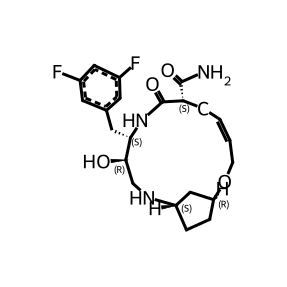 NC(=O)[C@@H]1CC=CCO[C@@H]2CC[C@@H](C2)NC[C@@H](O)[C@H](Cc2cc(F)cc(F)c2)NC1=O